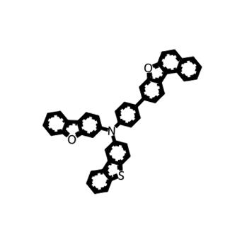 c1ccc2c(c1)ccc1oc3cc(-c4ccc(N(c5ccc6c(c5)oc5ccccc56)c5ccc6sc7ccccc7c6c5)cc4)ccc3c12